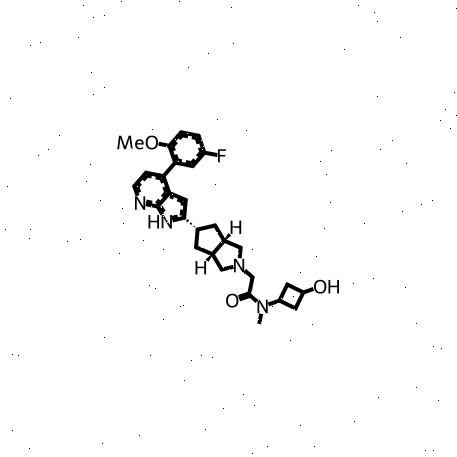 COc1ccc(F)cc1-c1ccnc2[nH]c([C@@H]3C[C@@H]4CN(CC(=O)N(C)C5CC(O)C5)C[C@@H]4C3)cc12